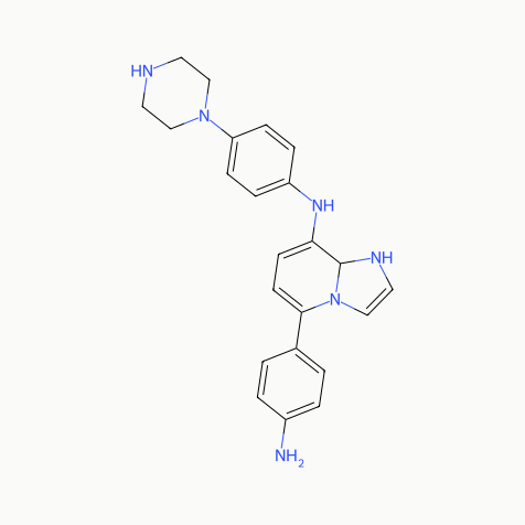 Nc1ccc(C2=CC=C(Nc3ccc(N4CCNCC4)cc3)C3NC=CN23)cc1